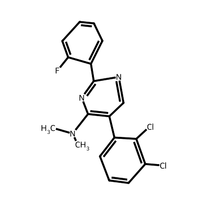 CN(C)c1nc(-c2ccccc2F)ncc1-c1cccc(Cl)c1Cl